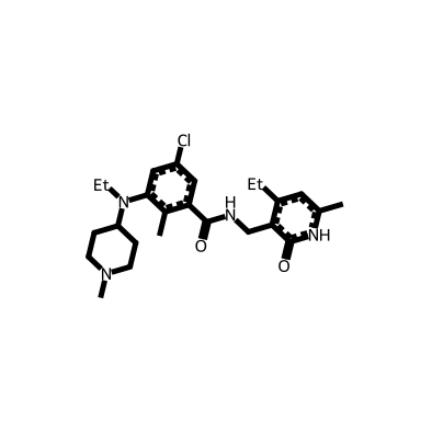 CCc1cc(C)[nH]c(=O)c1CNC(=O)c1cc(Cl)cc(N(CC)C2CCN(C)CC2)c1C